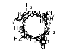 C/C=C(\C)[C@H]1OC(=O)[C@H](C)NC(=O)[C@H](C(C)CC)NC(=O)CN(C)C(=O)[C@@H](Cc2ccc(Cl)cc2)N(C)C(=O)[C@H](C)NC(=O)[C@@H](CC(C)C)OC(=O)/C(C)=C/C[C@H](OCSC)[C@@H]1C